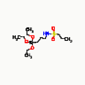 CCCS(=O)(=O)NCCC[Si](OCC)(OCC)OCC